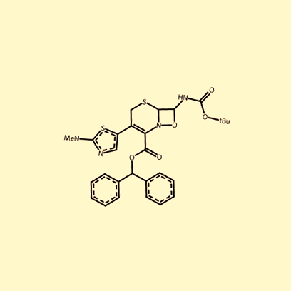 CNc1ncc(C2=C(C(=O)OC(c3ccccc3)c3ccccc3)N3OC(NC(=O)OC(C)(C)C)C3SC2)s1